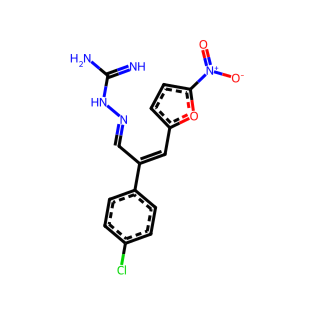 N=C(N)NN=CC(=Cc1ccc([N+](=O)[O-])o1)c1ccc(Cl)cc1